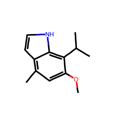 COc1cc(C)c2cc[nH]c2c1C(C)C